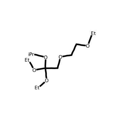 [CH2]COCCOCC(OCC)(OCC)OC(C)C